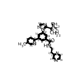 Cc1ccc(-c2cc(C(=O)NCCc3cnccn3)cc(-n3ncnc3C(C)N(C)C)c2)nc1